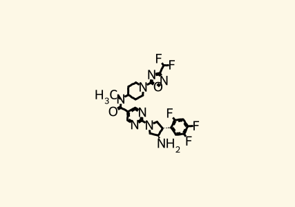 CN(C(=O)c1cnc(N2C[C@H](c3cc(F)c(F)cc3F)[C@@H](N)C2)nc1)C1CCN(c2nc(C(F)F)no2)CC1